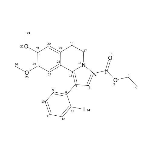 CCOC(=O)c1cc(-c2ccccc2I)c2n1CCc1cc(OC)c(OC)cc1-2